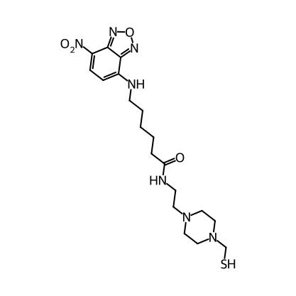 O=C(CCCCCNc1ccc([N+](=O)[O-])c2nonc12)NCCN1CCN(CS)CC1